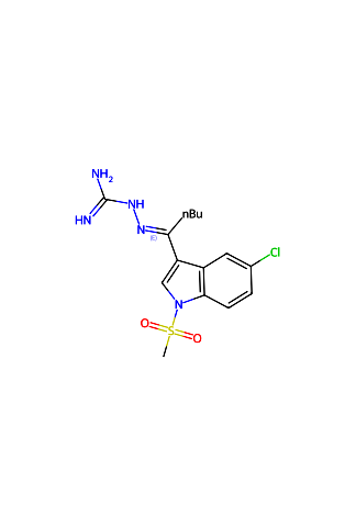 CCCC/C(=N\NC(=N)N)c1cn(S(C)(=O)=O)c2ccc(Cl)cc12